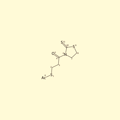 CC(=O)SCCC(=O)N1CCSC1=S